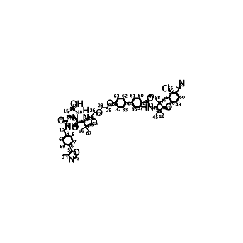 Cc1ncoc1-c1ccc(CNC(=O)[C@@H]2C[C@@H](O)CN2C(=O)[C@@H](NC(=O)COCCOc2ccc(-c3ccc(C(=O)N[C@H]4C(C)(C)[C@H](Oc5ccc(C#N)c(Cl)c5)C4(C)C)cc3)cc2)C(C)(C)C)cc1